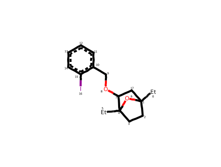 CCC12CCC(CC)(O1)C(OCc1ccccc1I)C2